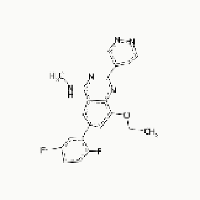 CCOc1cc(-c2cc(F)ccc2F)cc2c(NC)nc(-c3ccnnc3)nc12